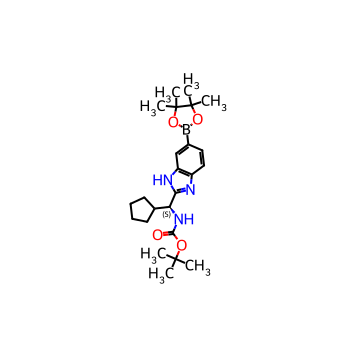 CC(C)(C)OC(=O)N[C@H](c1nc2ccc(B3OC(C)(C)C(C)(C)O3)cc2[nH]1)C1CCCC1